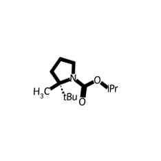 CC(C)OC(=O)N1CCC[C@@]1(C)C(C)(C)C